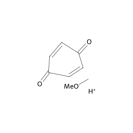 COC.O=C1C=CC(=O)C=C1.[H+]